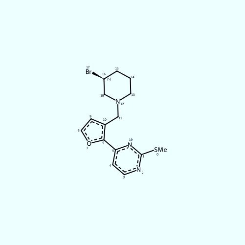 CSc1nccc(-c2occc2CN2CCC[C@H](Br)C2)n1